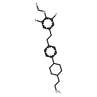 CCCC1CCC(c2ccc(CCc3cc(F)c(OCF)c(F)c3)cc2)CC1